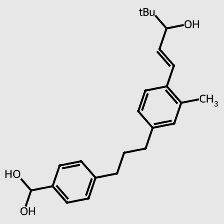 Cc1cc(CCCc2ccc(C(O)O)cc2)ccc1C=CC(O)C(C)(C)C